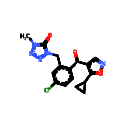 Cn1nnn(Cc2cc(Cl)ccc2C(=O)c2cnoc2C2CC2)c1=O